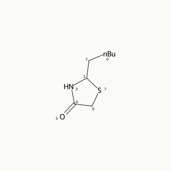 CCCCCC1NC(=O)CS1